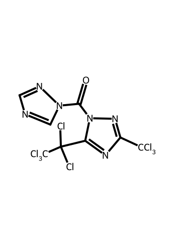 O=C(n1cncn1)n1nc(C(Cl)(Cl)Cl)nc1C(Cl)(Cl)C(Cl)(Cl)Cl